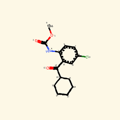 CC(C)(C)OC(=O)Nc1ccc(Cl)cc1C(=O)C1CCCCC1